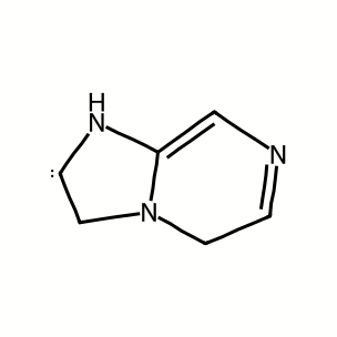 [C]1CN2CC=NC=C2N1